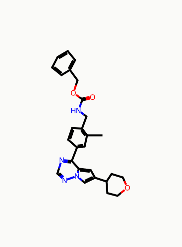 Cc1cc(-c2ncnn3cc(C4CCOCC4)cc23)ccc1CNC(=O)OCc1ccccc1